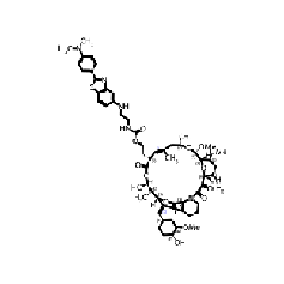 CO[C@H]1C[C@@H](C)C/C(C)=C/[C@@H](CCOC(=O)NCCNc2ccc3sc(-c4ccc(N(C)C)cc4)nc3c2)C(=O)C[C@H](O)[C@@H](C)[C@@H]2OC(=O)[C@@H]3C(CCCN3C(=O)C(=O)[C@]3(O)O[C@H]1[C@@H](OC)C[C@H]3C)/C2=C\[C@@H]1CC[C@@H](O)[C@H](OC)C1